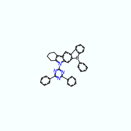 c1ccc(B2c3ccccc3-c3cc4c5c(n(-c6nc(-c7ccccc7)nc(-c7ccccc7)n6)c4cc32)CCCC5)cc1